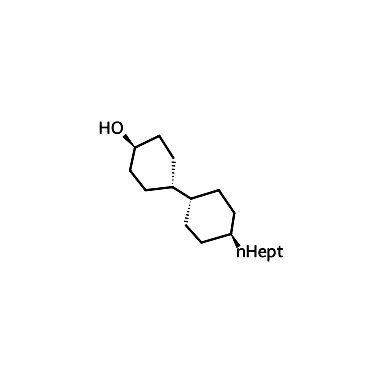 CCCCCCC[C@H]1CC[C@H]([C@H]2CC[C@H](O)CC2)CC1